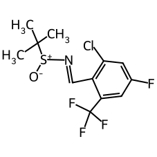 CC(C)(C)[S+]([O-])N=Cc1c(Cl)cc(F)cc1C(F)(F)F